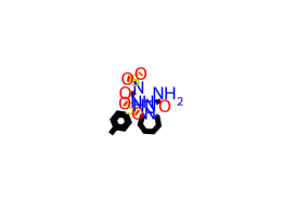 Cc1ccc(S(=O)(=O)NC(=O)N=S(=O)=O)cc1.NC(=O)NN1CCCCCC1